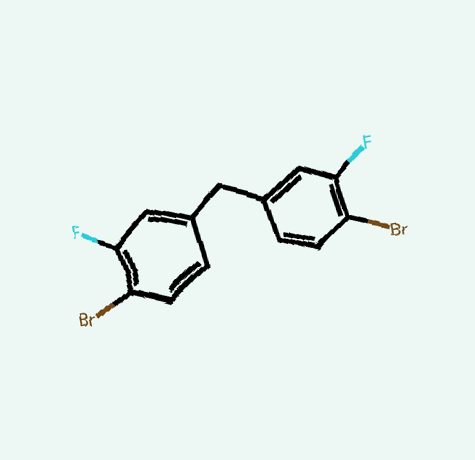 Fc1cc(Cc2ccc(Br)c(F)c2)ccc1Br